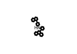 c1ccc(-c2cc3ccccc3c3ccccc23)c(Nc2ccc(-c3cccc4ccccc34)cc2)c1